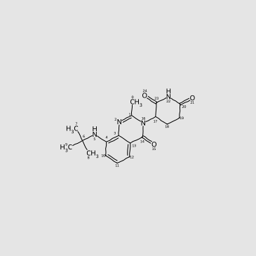 Cc1nc2c(NC(C)(C)C)cccc2c(=O)n1C1CCC(=O)NC1=O